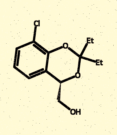 CCC1(CC)Oc2c(Cl)cccc2[C@@H](CO)O1